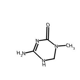 CN1CNC(N)=NC1=O